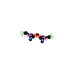 O=C(/C=C\C(=O)Oc1cccc2c1CCN(C(=O)Cc1ccc(Cl)c(Cl)c1)C2CN1CCCC1)Oc1cccc2c1CCN(C(=O)Cc1ccc(Cl)c(Cl)c1)C2CN1CCCC1